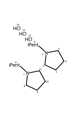 CCCC(C)N1CCCC1.CCCC(C)N1CCCC1.Cl.Cl.Cl